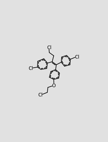 ClCCOc1ccc(C(=C(CCCl)c2ccc(Cl)cc2)c2ccc(Cl)cc2)cc1